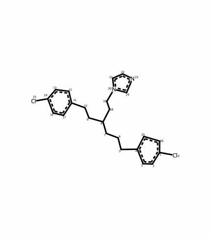 Clc1ccc(CCCC(CCc2ccc(Cl)cc2)CCn2ccnc2)cc1